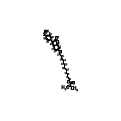 C=C(C)C(=O)OCCCCCCCCCCCCOc1ccc2cc(-c3ccc(SC(F)(F)F)cc3)c(=O)oc2n1